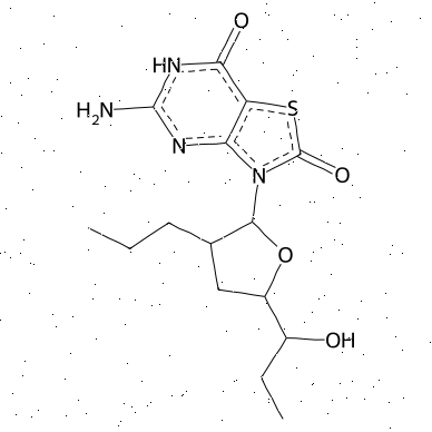 CCCC1CC(C(O)CC)OC1n1c(=O)sc2c(=O)[nH]c(N)nc21